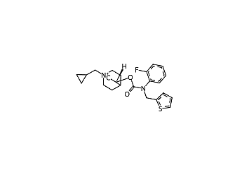 O=C(O[C@H]1C[N+]2(CC3CC3)CCC1CC2)N(Cc1cccs1)c1ccccc1F